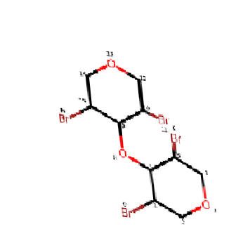 BrC1COCC(Br)C1OC1C(Br)COCC1Br